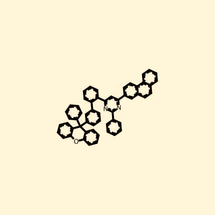 c1ccc(-c2nc(-c3ccc4c(ccc5ccccc54)c3)cc(-c3ccccc3-c3cccc(C4(c5ccccc5)c5ccccc5Oc5ccccc54)c3)n2)cc1